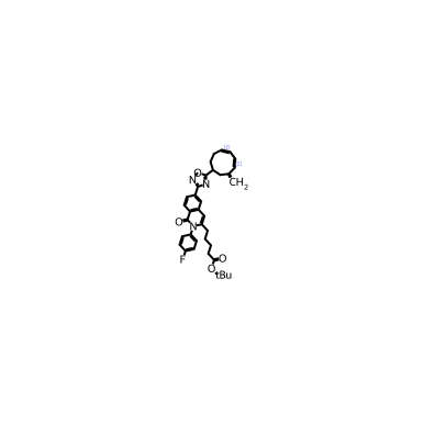 C=C1/C=C\C=C/CCC(c2nc(-c3ccc4c(=O)n(-c5ccc(F)cc5)c(CCCCC(=O)OC(C)(C)C)cc4c3)no2)C1